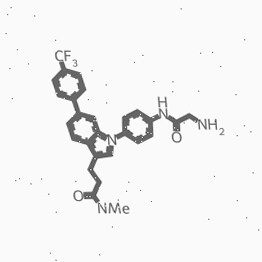 CNC(=O)CCc1cn(-c2ccc(NC(=O)CN)cc2)c2cc(-c3ccc(C(F)(F)F)cc3)ccc12